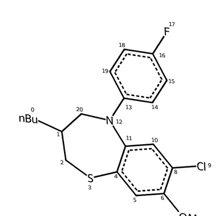 CCCCC1CSc2cc(OC)c(Cl)cc2N(c2ccc(F)cc2)C1